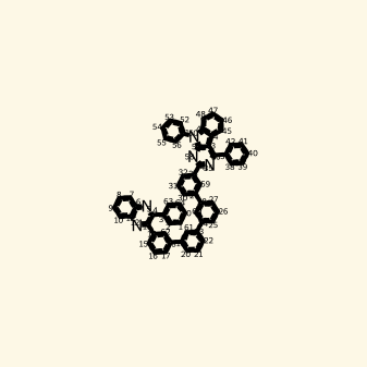 c1ccc(-c2nc3ccccc3nc2-c2cccc(-c3cccc(-c4cccc(-c5cccc(-c6nc(-c7ccccc7)c7c8ccccc8n(-c8ccccc8)c7n6)c5)c4)c3)c2)cc1